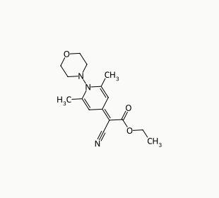 CCOC(=O)C(C#N)=C1C=C(C)N(N2CCOCC2)C(C)=C1